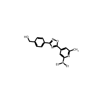 CCN(CC)c1cc(-c2nc(-c3ccc(CO)cc3)no2)cc(C)n1